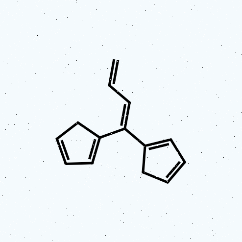 C=CC=C(C1=CC=CC1)C1=CC=CC1